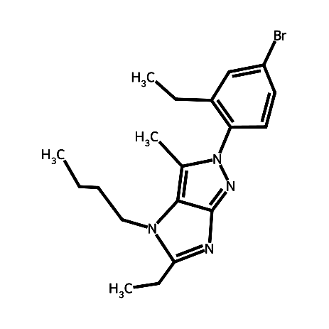 CCCCn1c(CC)nc2nn(-c3ccc(Br)cc3CC)c(C)c21